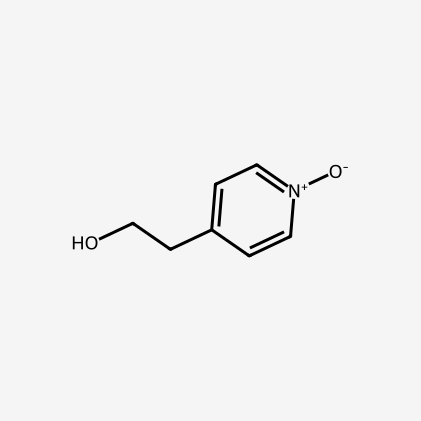 [O-][n+]1ccc(CCO)cc1